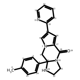 Cc1ccc(C23Cn4cc(-c5ccccn5)cc4C(=O)N2CCN3)cc1